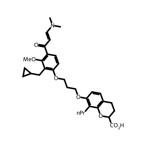 CCCc1c(OCCCOc2ccc(C(=O)C=CN(C)C)c(OC)c2CC2CC2)ccc2c1OC(C(=O)O)CC2